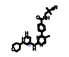 Cc1cnc(N/C(C=N)=C/NC2CCOCC2)nc1-c1ccc(C(=O)NCC(C)(C)C#N)cc1